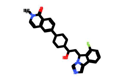 Cn1ccc2cc(C3CCC(C(O)CC4c5c(F)cccc5-c5cncn54)CC3)ccc2c1=O